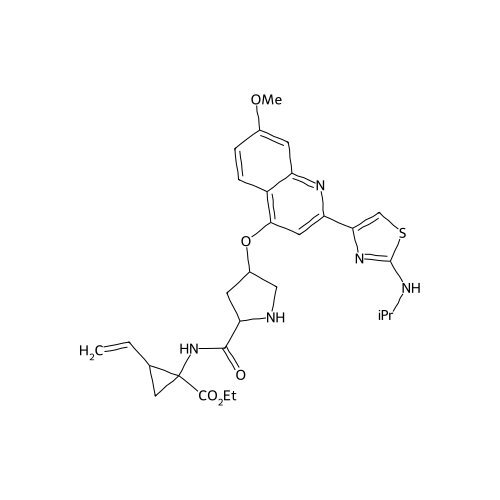 C=CC1CC1(NC(=O)C1CC(Oc2cc(-c3csc(NC(C)C)n3)nc3cc(OC)ccc23)CN1)C(=O)OCC